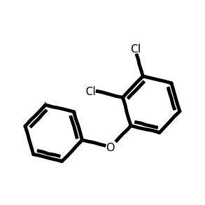 Clc1cccc(Oc2c[c]ccc2)c1Cl